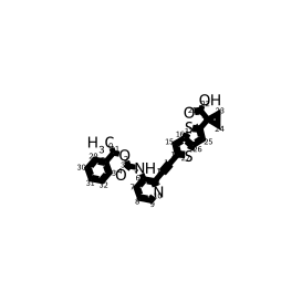 CC(OC(=O)Nc1cccnc1C#Cc1cc2sc(C3(C(=O)O)CC3)cc2s1)c1ccccc1